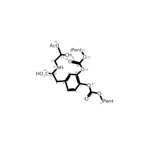 CCCC(C)OC(=O)Oc1ccc(C[C@H](NCC(C)OC(C)=O)C(=O)O)cc1OC(=O)OC(C)CCC